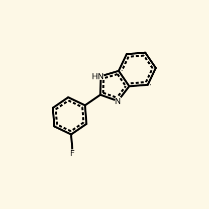 Fc1cccc(-c2nc3[c]cccc3[nH]2)c1